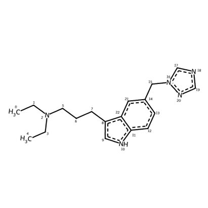 CCN(CC)CCCc1c[nH]c2ccc(Cn3cncn3)cc12